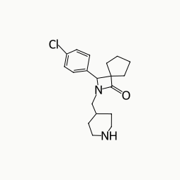 O=C1N(CC2CCNCC2)C(c2ccc(Cl)cc2)C12CCCC2